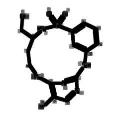 O=S1(=O)NC(CO)CCNc2nc(ncc2Br)Nc2cccc1c2